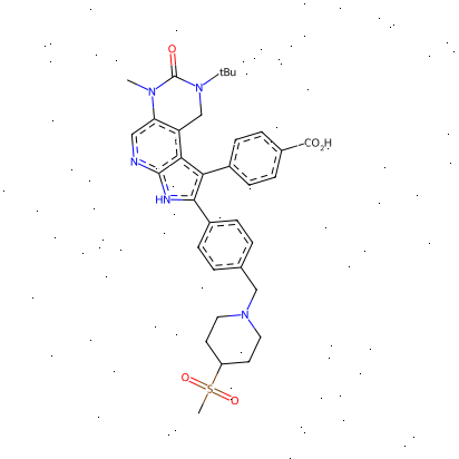 CN1C(=O)N(C(C)(C)C)Cc2c1cnc1[nH]c(-c3ccc(CN4CCC(S(C)(=O)=O)CC4)cc3)c(-c3ccc(C(=O)O)cc3)c21